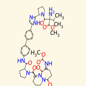 COC(=O)N[C@H]1CCC(=O)N2CCC[C@@H](C(=O)N3CCCC3C(=O)Nc3ccc(-c4ccc(-c5cnc(C6CCCN6C(=O)C(N)(C(=O)OC)C(C)C)[nH]5)cc4)cc3)N2C1=O